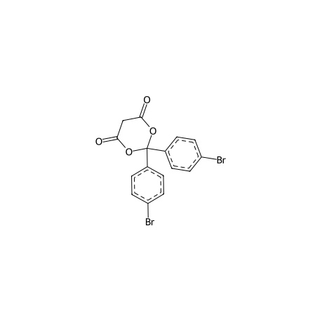 O=C1CC(=O)OC(c2ccc(Br)cc2)(c2ccc(Br)cc2)O1